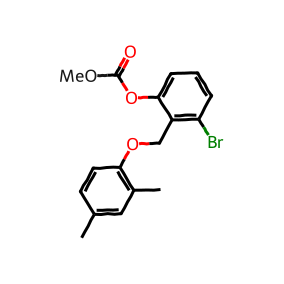 COC(=O)Oc1cccc(Br)c1COc1ccc(C)cc1C